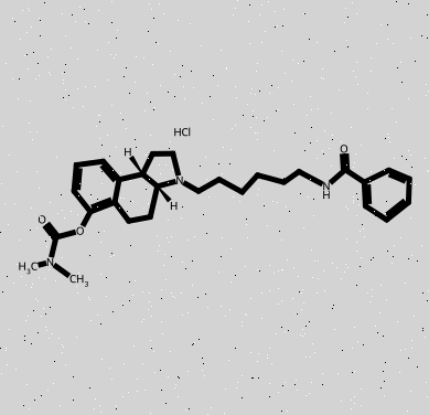 CN(C)C(=O)Oc1cccc2c1CC[C@@H]1[C@H]2CCN1CCCCCCNC(=O)c1ccccc1.Cl